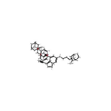 N#Cc1cnn2cc(OCCCN3C4CCC3C(O)C4)cc(-c3ccc(N4CC5CC(C4)N5C(=O)Cc4ccccn4)nc3)c12